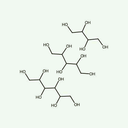 OCC(O)C(O)C(O)C(O)CO.OCC(O)C(O)C(O)CO.OCC(O)C(O)CO